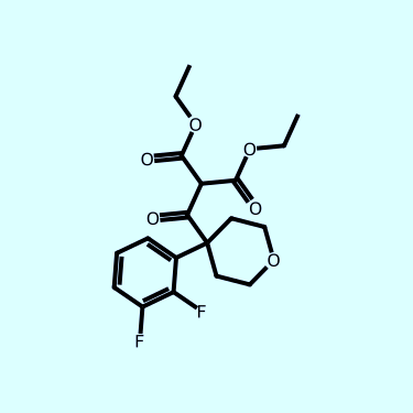 CCOC(=O)C(C(=O)OCC)C(=O)C1(c2cccc(F)c2F)CCOCC1